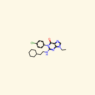 CCn1cnc2c(=O)n(-c3ccc(Cl)cc3)c(NCCC3CCCCC3)nc21